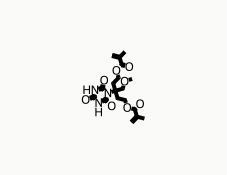 C=C(C)C(=O)OCCC(CCOC(=O)C(=C)C)(COC)n1c(=O)[nH]c(=O)[nH]c1=O